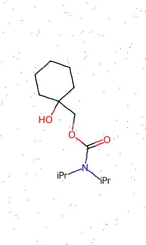 CC(C)N(C(=O)OCC1(O)CCCCC1)C(C)C